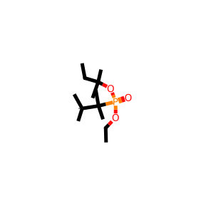 CCOP(=O)(OC(C)(C)CC)C(C)(C)[C](C)C